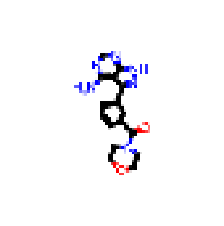 Nc1ncnc2[nH]nc(-c3cccc(C(=O)N4CCOCC4)c3)c12